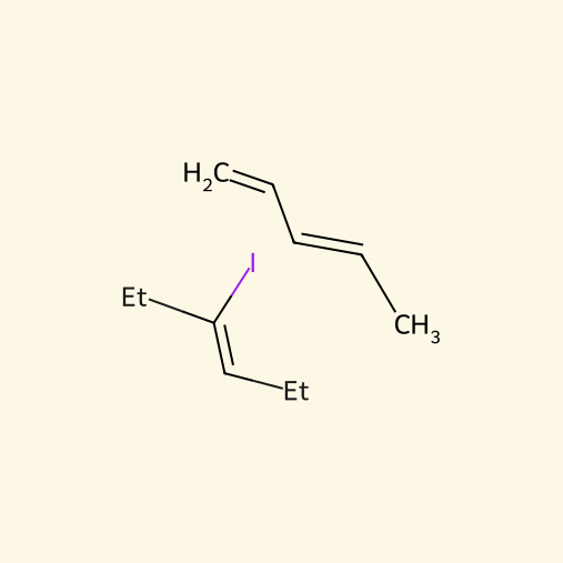 C=CC=CC.CCC=C(I)CC